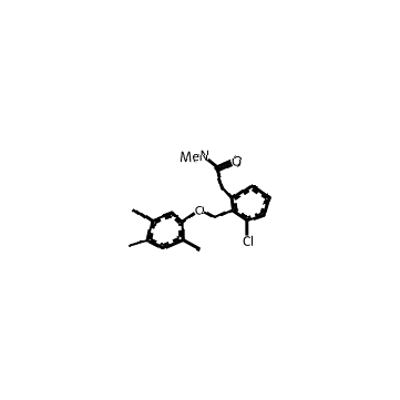 CNC(=O)Cc1cccc(Cl)c1COc1cc(C)c(C)cc1C